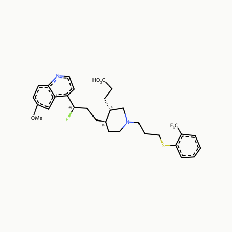 COc1ccc2nccc([C@H](F)CC[C@@H]3CCN(CCCSc4ccccc4C(F)(F)F)C[C@H]3CCC(=O)O)c2c1